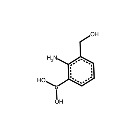 Nc1c(CO)cccc1B(O)O